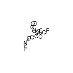 Cc1cc(F)ccc1C(=O)c1sc2cc(OC3CCCCO3)ccc2c1Oc1ccc(OCCN2CC(CF)C2)cc1